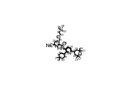 CC1(C)CC=C(c2nc(C3CC(C)(C)OC(C)(C)C3)ccc2NC(=O)C2=NC(C#N)CN2COCC[Si](C)(C)C)CC1